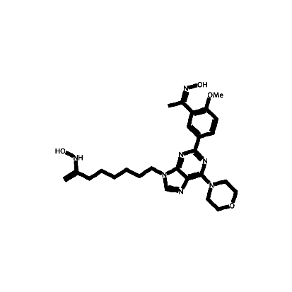 C=C(CCCCCCn1cnc2c(N3CCOCC3)nc(-c3ccc(OC)c(/C(C)=N\O)c3)nc21)NO